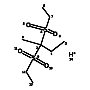 CCC(C)(S(=O)(=O)CC)S(=O)(=O)CC.[H+]